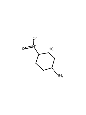 Cl.NC1CCC([N+](=O)[O-])CC1